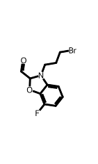 O=CC1Oc2c(F)cccc2N1CCCBr